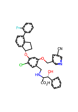 N#Cc1cncc(COc2cc(O[C@H]3CCc4c(-c5ccccc5F)cccc43)c(Cl)cc2CN[C@H](C(=O)O)[C@H](O)c2ccccc2)c1